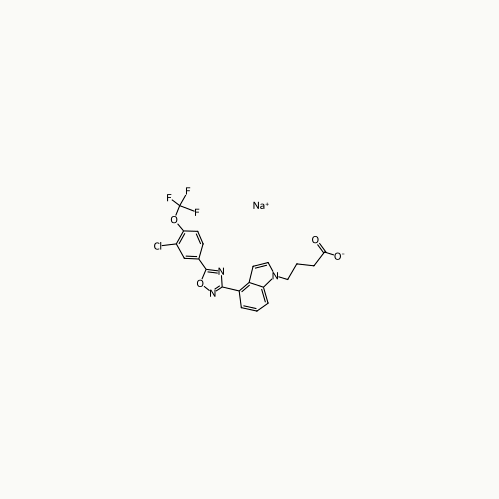 O=C([O-])CCCn1ccc2c(-c3noc(-c4ccc(OC(F)(F)F)c(Cl)c4)n3)cccc21.[Na+]